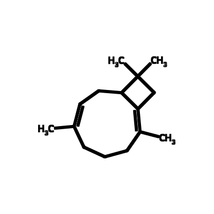 C/C1=C/CC2/C(=C(/C)CCC1)CC2(C)C